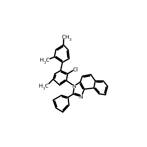 Cc1ccc(-c2cc(C)cc(-n3c(-c4ccccc4)nc4c5ccccc5ccc43)c2Cl)c(C)c1